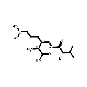 CC(C)[C@H](N)C(=O)NC[C@H](CCCB(O)O)[C@H](N)C(=O)O